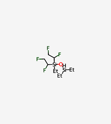 CC[SiH](CC)O[Si](CC)(C(F)CF)C(F)CF